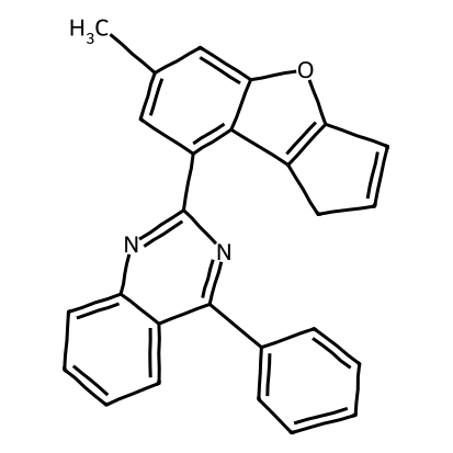 Cc1cc(-c2nc(-c3ccccc3)c3ccccc3n2)c2c3c(oc2c1)C=CC3